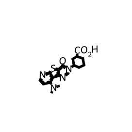 CN(C)c1ccnc2sc3c(=O)n(C4CCCC(C(=O)O)C4)cnc3c12